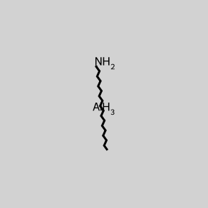 CCCCCCCCCCCCCCCCCCN.[AlH3]